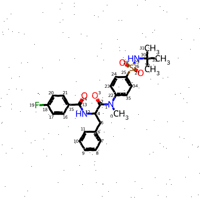 CN(C(=O)C(Cc1ccccc1)NC(=O)c1ccc(F)cc1)c1ccc(S(=O)(=O)NC(C)(C)C)cc1